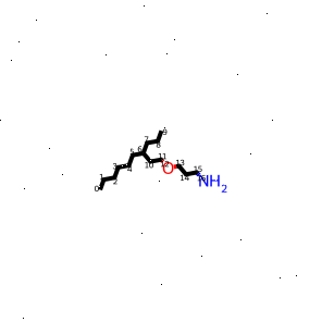 CCCCCCC(CCC)CCOCCCN